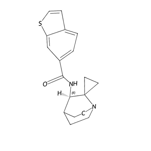 O=C(N[C@@H]1C2CCN(CC2)C12CC2)c1ccc2ccsc2c1